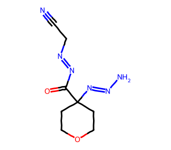 N#CCN=NC(=O)C1(N=NN)CCOCC1